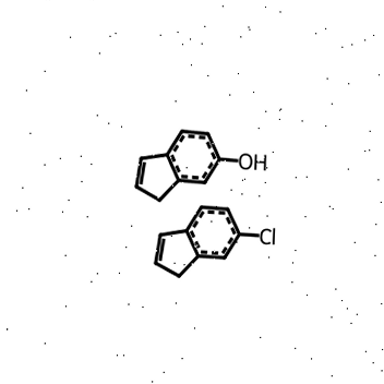 Clc1ccc2c(c1)CC=C2.Oc1ccc2c(c1)CC=C2